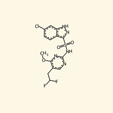 COc1nc(NS(=O)(=O)c2n[nH]c3cc(Cl)ccc23)ncc1CC(F)F